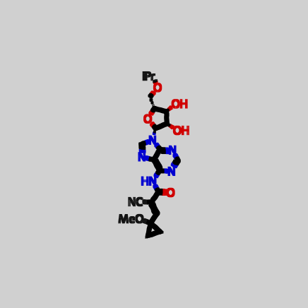 COC1(/C=C(\C#N)C(=O)Nc2ncnc3c2ncn3[C@@H]2O[C@H](COC(C)C)[C@@H](O)[C@H]2O)CC1